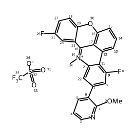 COc1ncccc1-c1cc(F)c2c3cccc4c3c([n+](C)c2c1)-c1cc(F)ccc1O4.O=S(=O)([O-])C(F)(F)F